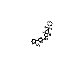 [2H]C([2H])([C@H]1CCCOC1)N1C[C@H]2CC(Nc3ccc(-c4cccnc4C(F)(F)F)nn3)C[C@H]2C1